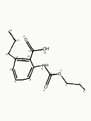 CCCOC(=O)Nc1cccc(CCC)c1C(=O)O